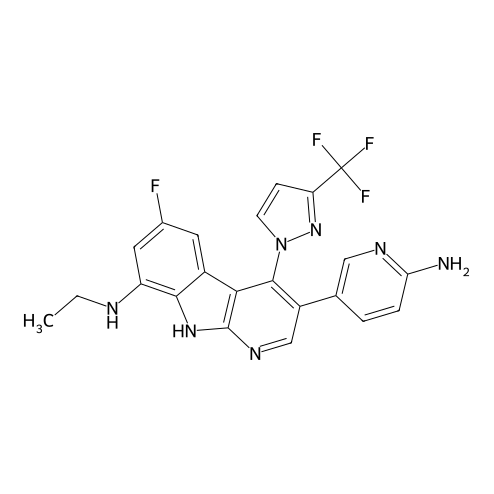 CCNc1cc(F)cc2c1[nH]c1ncc(-c3ccc(N)nc3)c(-n3ccc(C(F)(F)F)n3)c12